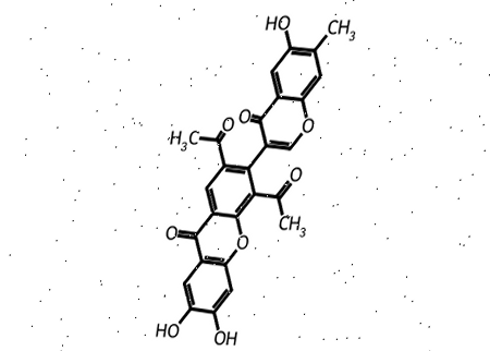 CC(=O)c1cc2c(=O)c3cc(O)c(O)cc3oc2c(C(C)=O)c1-c1coc2cc(C)c(O)cc2c1=O